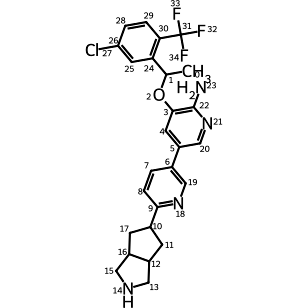 CC(Oc1cc(-c2ccc(C3CC4CNCC4C3)nc2)cnc1N)c1cc(Cl)ccc1C(F)(F)F